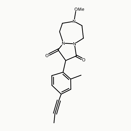 CC#Cc1ccc(C2C(=O)N3CCN(OC)CCN3C2=O)c(C)c1